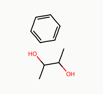 CC(O)C(C)O.c1ccccc1